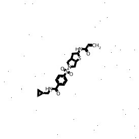 C=CC(=O)NC1CC2CN(S(=O)(=O)c3ccc(C(=O)NCC4CC4)cc3)CC2S1